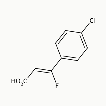 O=C(O)C=C(F)c1ccc(Cl)cc1